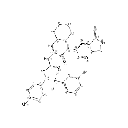 CC(C)(c1cccc(Cl)c1)C(OC(=O)N[C@@H](CC1CCCCC1)C(=O)N[C@H](C=O)C[C@@H]1CCNC1=O)c1ccc(Cl)cc1